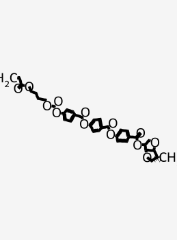 C=CC(=O)OCCCCOC(=O)Oc1ccc(C(=O)Oc2ccc(C(=O)Oc3ccc(C(=O)OC4COC5C4OC[C@H]5C)cc3)cc2)cc1